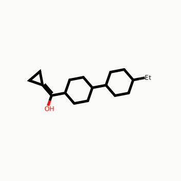 CCC1CCC(C2CCC(C(O)=C3CC3)CC2)CC1